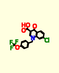 O=C(O)c1cn(Cc2ccc(OC(F)(F)F)cc2)c2cc(Cl)ccc2c1=O